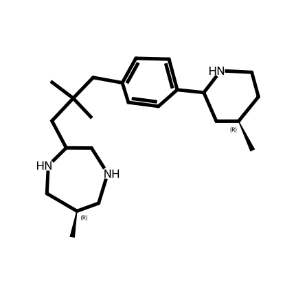 C[C@@H]1CNCC(CC(C)(C)Cc2ccc(C3C[C@H](C)CCN3)cc2)NC1